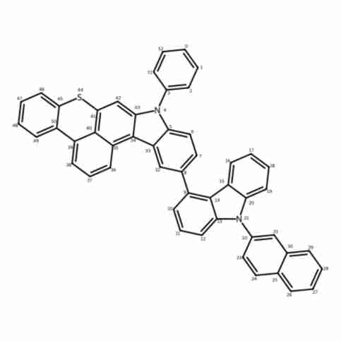 c1ccc(-n2c3ccc(-c4cccc5c4c4ccccc4n5-c4ccc5ccccc5c4)cc3c3c4cccc5c4c(cc32)Sc2ccccc2-5)cc1